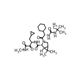 CNC(=O)C(=O)C(CC1CC1)NC(=O)[C@@H]1[C@@H]2C(CN1C(=O)[C@@H](NC(=O)NC(C)(C)C)C1CCCCC1)C2(C)C